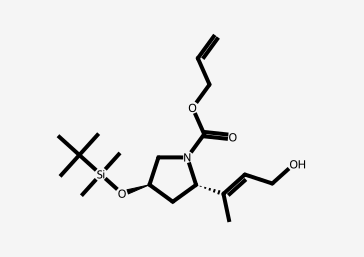 C=CCOC(=O)N1C[C@H](O[Si](C)(C)C(C)(C)C)C[C@H]1C(C)=CCO